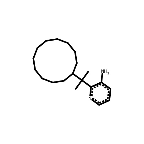 CC(C)(c1ncccc1N)C1CCCCCCCCCCC1